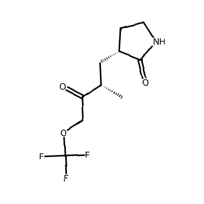 C[C@@H](C[C@@H]1CCNC1=O)C(=O)COC(F)(F)F